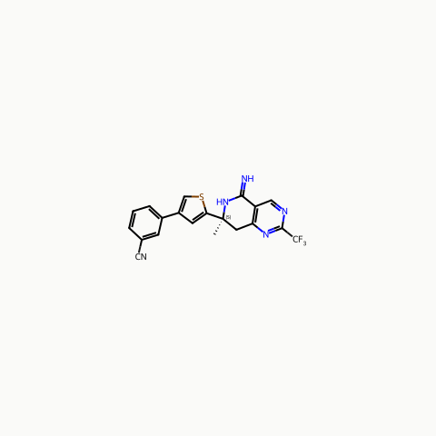 C[C@@]1(c2cc(-c3cccc(C#N)c3)cs2)Cc2nc(C(F)(F)F)ncc2C(=N)N1